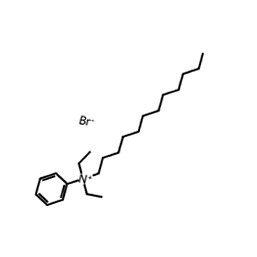 CCCCCCCCCCCC[N+](CC)(CC)c1ccccc1.[Br-]